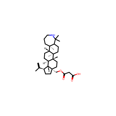 C=C(C)[C@@H]1CC[C@]2(COC(=O)CC(=O)O)CC[C@]3(C)[C@H](CC[C@@H]4[C@@]5(C)CCCNC(C)(C)C5CC[C@]43C)[C@@H]12